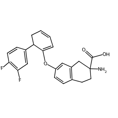 NC1(C(=O)O)CCc2ccc(OC3=CC=CCC3c3ccc(F)c(F)c3)cc2C1